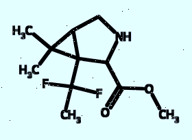 COC(=O)C1NCC2C(C)(C)C12C(C)(F)F